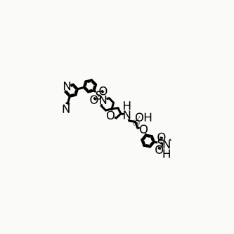 CNS(=O)(=O)c1cccc(OC[C@@H](O)CNC2COC3(CCN(S(=O)(=O)c4cccc(-c5cncc(C#N)c5)c4)CC3)C2)c1